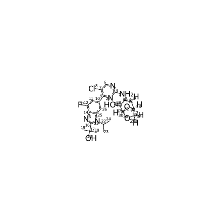 [2H][C@H]1[C@@H](Nc2ncc(Cl)c(-c3cc(F)c4nc(C(C)(C)O)n(C(C)C)c4c3)n2)[C@H](O)[C@H]2O[C@@H]1C([2H])([2H])O2